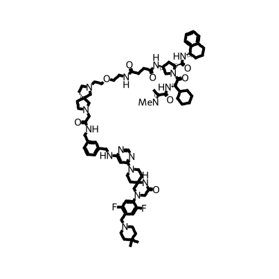 CN[C@@H](C)C(=O)N[C@H](C(=O)N1C[C@@H](NC(=O)CCC(=O)NCCOCCN2CC[C@]3(CCN(CC(=O)NCc4cccc(CNc5cc(N6CCC7(CC6)CN(c6cc(F)c(CN8CCC(C)(C)CC8)cc6F)CC(=O)N7)ncn5)c4)C3)C2)C[C@H]1C(=O)N[C@H]1CCCc2ccccc21)C1CCCCC1